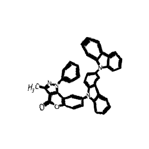 Cc1nn(-c2ccccc2)c2c1c(=O)oc1ccc(-n3c4ccccc4c4cc(-n5c6ccccc6c6ccccc65)ccc43)cc12